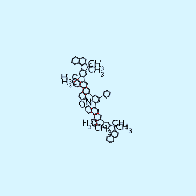 CC1(C)c2cc(-c3ccc4c(c3)N(c3c(-c5ccc(-c6ccccc6)cc5)cc(-c5ccccc5)cc3-c3ccc(-c5ccccc5)cc3)c3cc(-c5ccc6c(c5)C(C)(C)c5cc7c(cc5-6)C(C)(C)c5ccc6ccccc6c5-7)ccc3O4)ccc2-c2cc3c(cc21)-c1c(ccc2ccccc12)C3(C)C